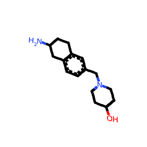 NC1CCc2cc(CN3CCC(O)CC3)ccc2C1